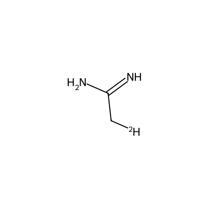 [2H]CC(=N)N